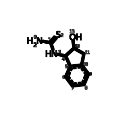 NC(=S)NC1c2ccccc2CC1O